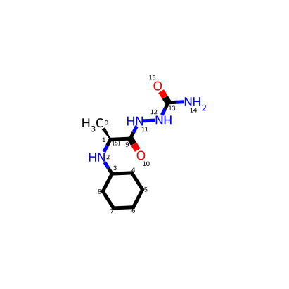 C[C@H](NC1CCCCC1)C(=O)NNC(N)=O